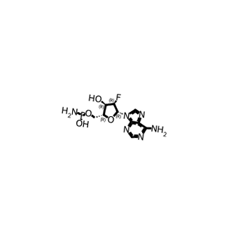 Nc1ncnc2c1ncn2[C@@H]1O[C@H](COP(N)O)[C@@H](O)[C@H]1F